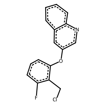 Fc1cccc(Oc2cnc3ccccc3c2)c1CCl